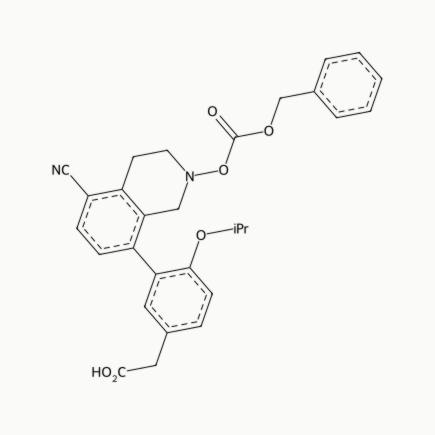 CC(C)Oc1ccc(CC(=O)O)cc1-c1ccc(C#N)c2c1CN(OC(=O)OCc1ccccc1)CC2